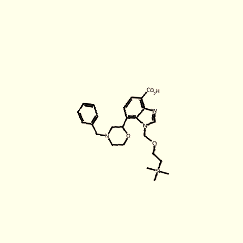 C[Si](C)(C)CCOCn1cnc2c(C(=O)O)ccc(C3CN(Cc4ccccc4)CCO3)c21